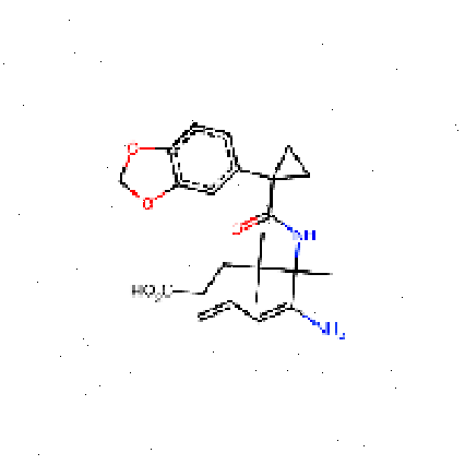 C=C/C=C(/N)C(C)(NC(=O)C1(c2ccc3c(c2)OCO3)CC1)C(C)(C)CCC(=O)O